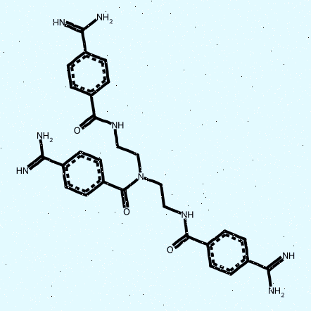 N=C(N)c1ccc(C(=O)NCCN(CCNC(=O)c2ccc(C(=N)N)cc2)C(=O)c2ccc(C(=N)N)cc2)cc1